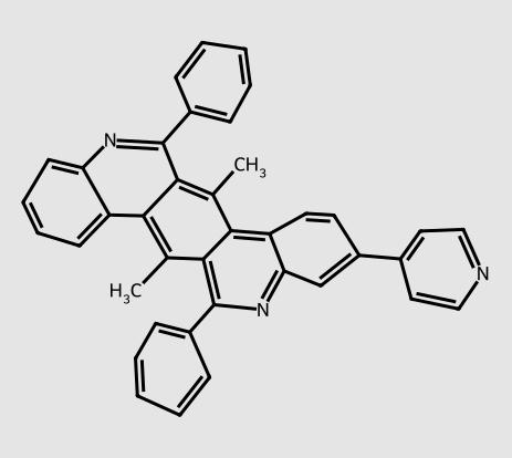 Cc1c2c(-c3ccccc3)nc3cc(-c4ccncc4)ccc3c2c(C)c2c(-c3ccccc3)nc3ccccc3c12